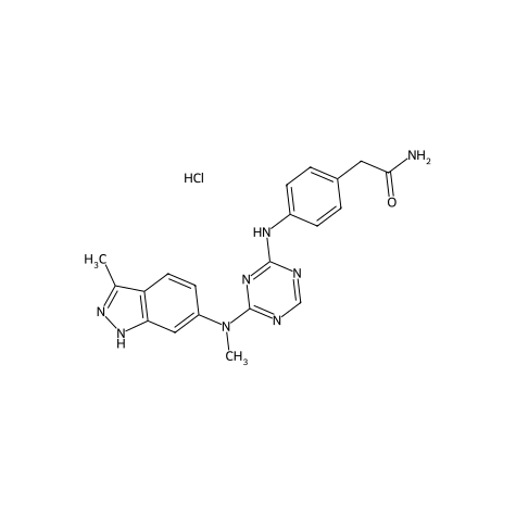 Cc1n[nH]c2cc(N(C)c3ncnc(Nc4ccc(CC(N)=O)cc4)n3)ccc12.Cl